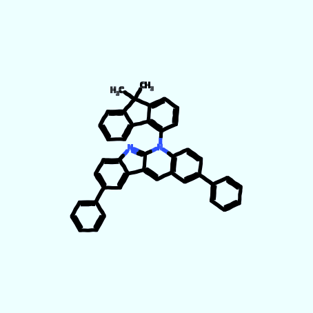 CC1(C)c2ccccc2-c2c(-n3c4nc5ccc(-c6ccccc6)cc5c-4cc4cc(-c5ccccc5)ccc43)cccc21